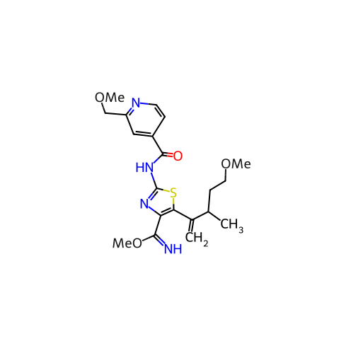 C=C(c1sc(NC(=O)c2ccnc(COC)c2)nc1C(=N)OC)C(C)CCOC